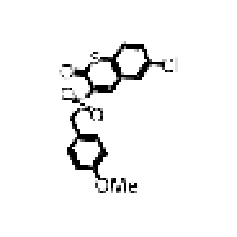 COc1ccc(CS(=O)(=O)c2cc3cc(Cl)ccc3sc2=O)cc1